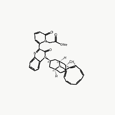 COC(=O)Cn1c(-c2nc3ccccc3n([C@@H]3C[C@@H]4CC[C@@H](C)[C@H](C3)N4c3ccccccccc3)c2=O)cccc1=O